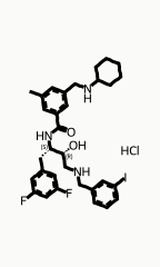 Cc1cc(CNC2CCCCC2)cc(C(=O)N[C@@H](Cc2cc(F)cc(F)c2)[C@H](O)CNCc2cccc(I)c2)c1.Cl